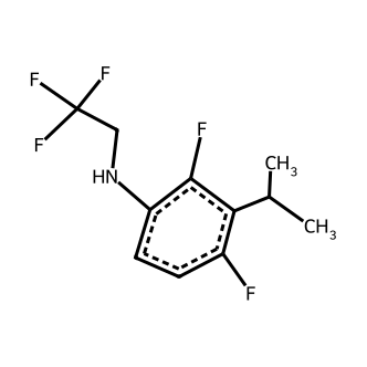 CC(C)c1c(F)ccc(NCC(F)(F)F)c1F